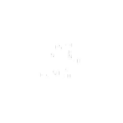 CNc1cnc(NC)c(NC)c1OC